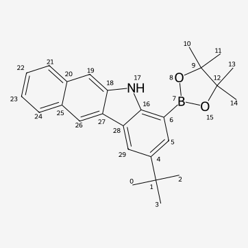 CC(C)(C)c1cc(B2OC(C)(C)C(C)(C)O2)c2[nH]c3cc4ccccc4cc3c2c1